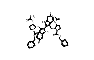 CC(=O)O[C@H]1CCN(C(=O)OCc2ccccc2)[C@@H]1Cc1c(-c2[nH]c3cc(F)ccc3c2C[C@@H]2[C@@H](OC(C)=O)CCN2C(=O)OCc2ccccc2)[nH]c2c1C=CC(F)C2